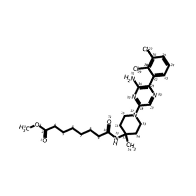 COC(=O)CCCCCCC(=O)NC1(C)CCN(c2cnc(-c3cccc(Cl)c3Cl)c(N)n2)CC1